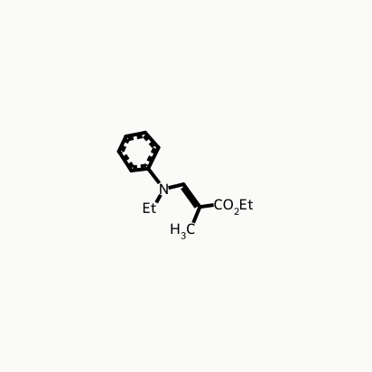 CCOC(=O)C(C)=CN(CC)c1ccccc1